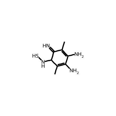 CC1=C(N)C(N)=C(C)C(NS)C1=N